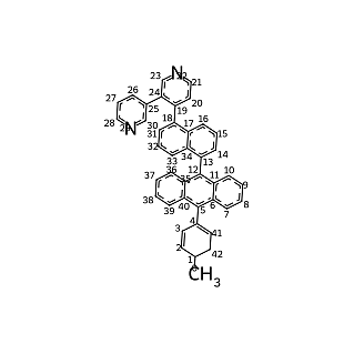 CC1C=CC(c2c3ccccc3c(-c3cccc4c(-c5ccncc5-c5cccnc5)cccc34)c3ccccc23)=CC1